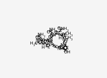 CC[C@H](C)[C@@H]1NC(=O)[C@H](Cc2ccc(O)cc2)NC(=O)[C@@H](N)CSSC[C@@H](C(=O)N2CCC[C@H]2C(=O)N[C@@H](CC(C)C)C(=O)NCC(N)=O)NC(=O)[C@H](CCC(N)=O)NC(=O)[C@H](CCC(N)=O)NC1=O